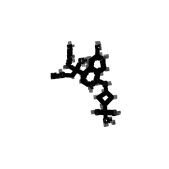 COCC(C)(N=[N+]=[N-])c1cnc(OC2CC(S(C)(=O)=O)C2)c2cnc(Cl)cc12